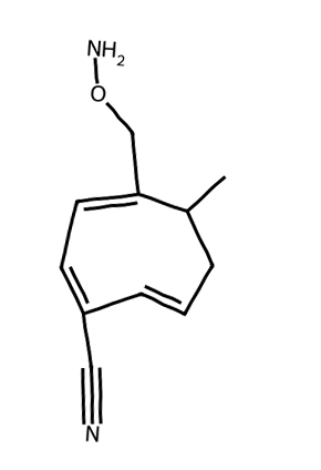 CC1C/C=C/C(C#N)=C\C=C/1CON